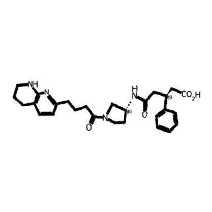 O=C(O)C[C@H](CC(=O)N[C@@H]1CCN(C(=O)CCCc2ccc3c(n2)NCCC3)C1)c1ccccc1